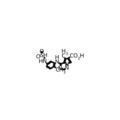 Cc1ccc(NC[SH](=O)=O)cc1Nc1ncnn2cc(C(=O)O)c(C)c12